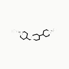 CC(C)N1CCC(C2CCN(CC3CCN(C(C)(C)C)CC3)CC2)CC1